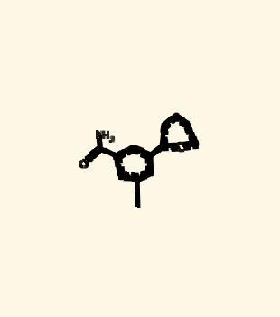 Cc1cc(C(N)=O)cc(-c2ccccc2)c1